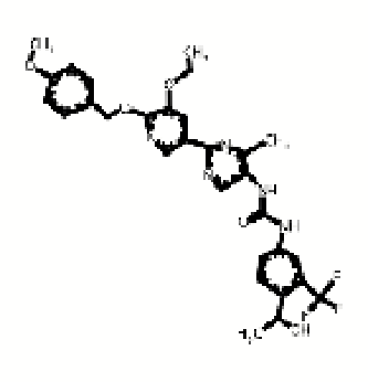 CCOc1cc(-c2ncc(NC(=O)Nc3ccc(C(C)O)c(C(F)(F)F)c3)c(C)n2)cnc1OCc1ccc(OC)cc1